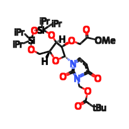 COC(=O)CO[C@@H]1[C@@H]2O[Si](C(C)C)(C(C)C)O[Si](C(C)C)(C(C)C)OC[C@H]2O[C@H]1n1ccc(=O)n(COC(=O)C(C)(C)C)c1=O